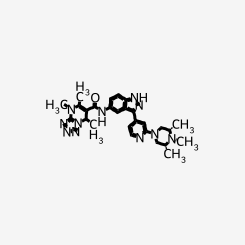 CC1=C(C(=O)Nc2ccc3[nH]nc(-c4ccnc(N5C[C@@H](C)N(C)[C@@H](C)C5)c4)c3c2)C(C)n2nnnc2N1C